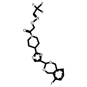 O=C(CON=CC(F)(F)F)N1CCC(c2nc(C3OCc4cccc(F)c4CO3)cs2)CC1